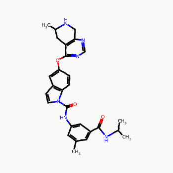 Cc1cc(NC(=O)n2ccc3cc(Oc4ncnc5c4CC(C)NC5)ccc32)cc(C(=O)NC(C)C)c1